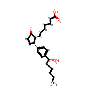 CCCCC[C@H](O)c1ccc([C@@H]2CCC(=O)[C@H]2CCCCCCC(=O)O)cc1